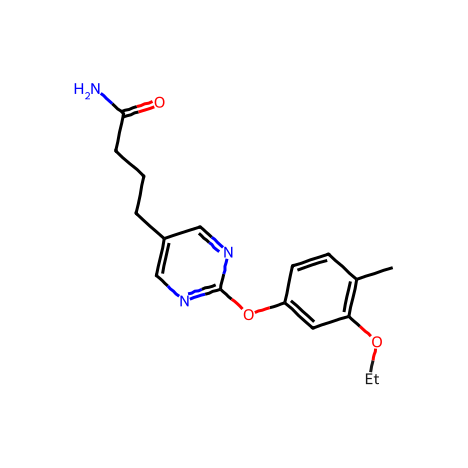 CCOc1cc(Oc2ncc(CCCC(N)=O)cn2)ccc1C